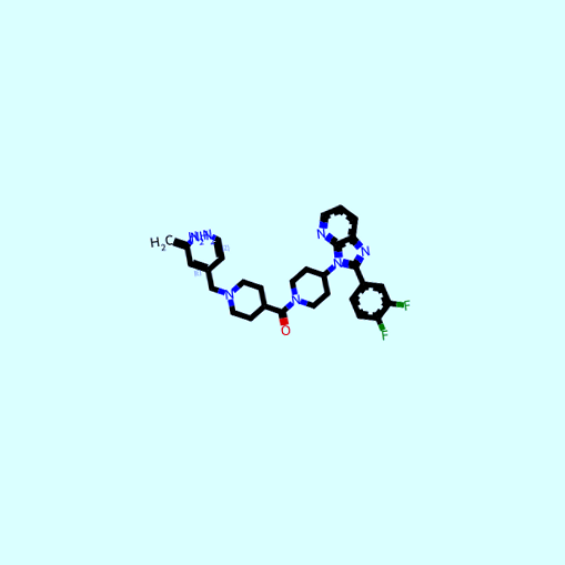 C=C(N)/C=C(\C=C/N)CN1CCC(C(=O)N2CCC(n3c(-c4ccc(F)c(F)c4)nc4cccnc43)CC2)CC1